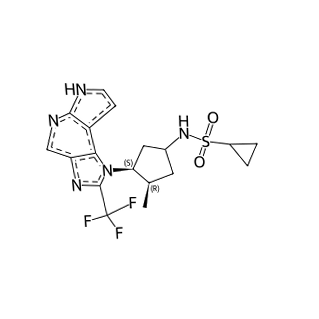 C[C@@H]1CC(NS(=O)(=O)C2CC2)C[C@@H]1n1c(C(F)(F)F)nc2cnc3[nH]ccc3c21